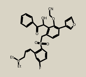 CCN(CC)C/C=C\c1cc(F)ccc1S(=O)(=O)Cc1ccc(-c2ccoc2)c(OCC#N)c1C(O)C(=O)c1ccccc1